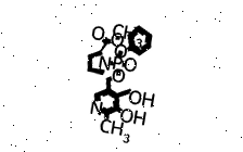 COC(=O)[C@@H]1CCCN1P(=O)(OCc1cnc(C)c(O)c1CO)Oc1ccccc1